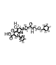 Cc1cc(N2CC(C(=O)NCCOCc3ccccc3)C2)nc2c1c(=O)c(C(=O)O)cn2-c1nccs1